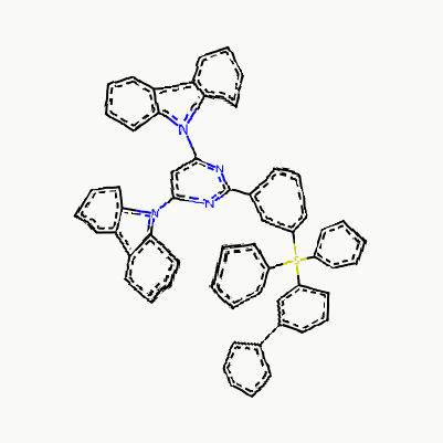 c1ccc(-c2cccc(S(c3ccccc3)(c3ccccc3)c3cccc(-c4nc(-n5c6ccccc6c6ccccc65)cc(-n5c6ccccc6c6ccccc65)n4)c3)c2)cc1